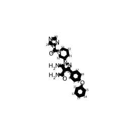 NC(=O)c1c(-c2ccc(Oc3ccccc3)cc2)nn(C2CCCN(C(=O)n3cncn3)C2)c1N